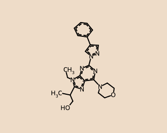 CCn1c(C(C)CO)nc2c(N3CCOCC3)nc(-n3cc(-c4ccccc4)cn3)nc21